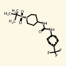 CC(C)(C)S(=O)(=O)N1CCC(NC(=O)Nc2ccc(C(F)(F)F)cc2)CC1